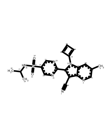 Cc1cnc2c(C#N)c(-c3ncc(S(=O)(=O)NC(C)C)cn3)n(C3=CC=C3)c2c1